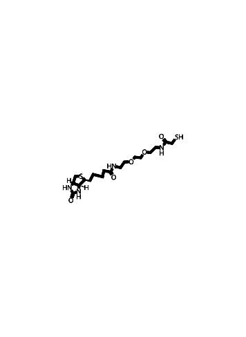 O=C(CS)NCCOCCOCCNC(=O)CCCC[C@@H]1SC[C@@H]2NC(=O)N[C@@H]21